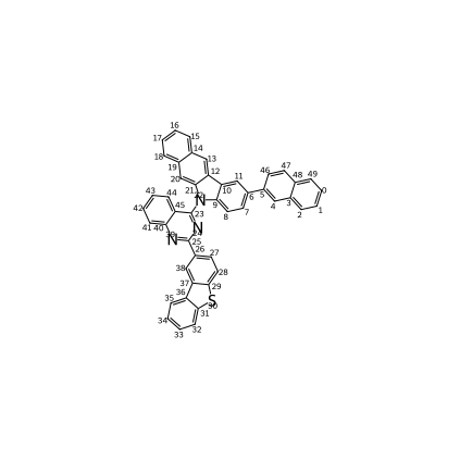 c1ccc2cc(-c3ccc4c(c3)c3cc5ccccc5cc3n4-c3nc(-c4ccc5sc6ccccc6c5c4)nc4ccccc34)ccc2c1